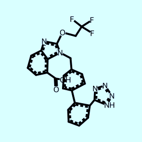 O=C(O)c1cccc2nc(OCC(F)(F)F)n(Cc3ccc(-c4ccccc4-c4nnn[nH]4)cc3)c12